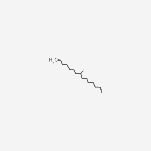 C=CCCCCCC(I)CCCCCCI